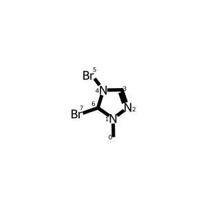 CN1N=CN(Br)C1Br